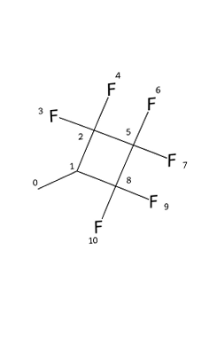 CC1C(F)(F)C(F)(F)C1(F)F